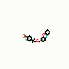 CC(C)(COCc1ccc(F)c(Oc2ccccc2)c1)c1ccc(Br)c(F)c1